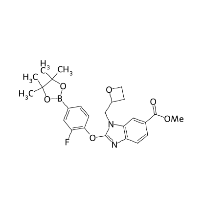 COC(=O)c1ccc2nc(Oc3ccc(B4OC(C)(C)C(C)(C)O4)cc3F)n(CC3CCO3)c2c1